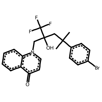 CC(C)(CC(O)(Cn1ccc(=O)c2ccccc21)C(F)(F)F)c1ccc(Br)cc1